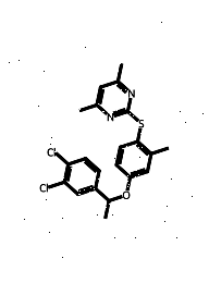 Cc1cc(C)nc(Sc2ccc(OC(C)c3ccc(Cl)c(Cl)c3)cc2C)n1